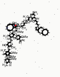 CCN(C(C)=O)C1COC(OC2C(O[C@H]3C#C/C=C\C#C[C@]4(O)CC(=O)C(NC(=O)OC)C3/C4=C\CSSC(C)(C)CC(=O)NNC(=O)[C@H](C)NC(=O)[C@H](CC(N)=O)NC(=O)CCCn3nnc4c3CSC3CCCCCCC(C3)SC4)OC(C)C(NOC3CC(O)C(SCc4c(C)c(I)c(OC5(O)COC(C)C(O)C5OC)c(OC)c4OC)C(C)O3)C2O)CC1OC